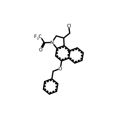 O=C(N1CC(CCl)c2c1cc(OCc1ccccc1)c1ccccc21)C(F)(F)F